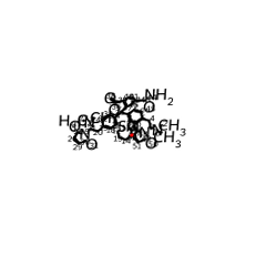 CN(C)C(Cc1ccc2c(c1)[Si]1(CCCCC1)c1cc(CC(N(C)C)N3C(=O)C=CC3=O)ccc1C21OC(=O)c2ccc(C(N)=O)cc21)N1C(=O)C=CC1=O